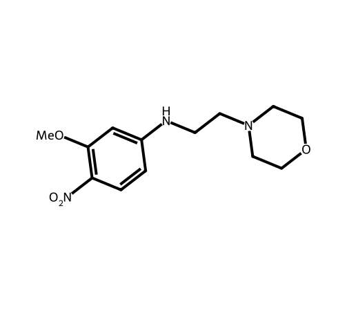 COc1cc(NCCN2CCOCC2)ccc1[N+](=O)[O-]